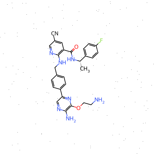 C[C@H](NC(=O)c1cc(C#N)cnc1NCc1ccc(-c2cnc(N)c(OCCN)n2)cc1)c1ccc(F)cc1